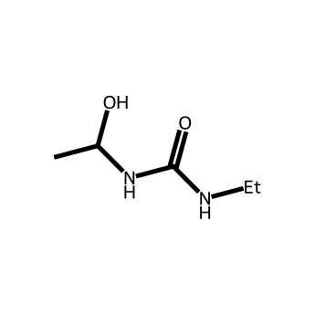 CCNC(=O)NC(C)O